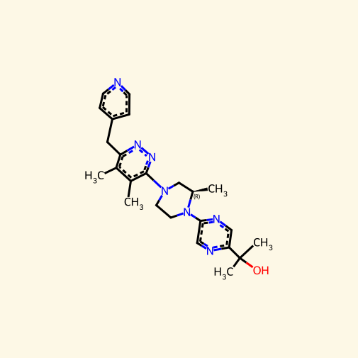 Cc1c(Cc2ccncc2)nnc(N2CCN(c3cnc(C(C)(C)O)cn3)[C@H](C)C2)c1C